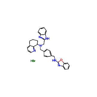 Br.c1cnc2c(c1)CCCC2N(Cc1ccc(CNc2nc3ccccc3o2)cc1)Cc1nc2ccccc2[nH]1